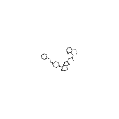 CN(Cc1cn2c(N3CCN(CCc4ccccc4)CC3)nccc2n1)[C@H]1CCCc2cccnc21